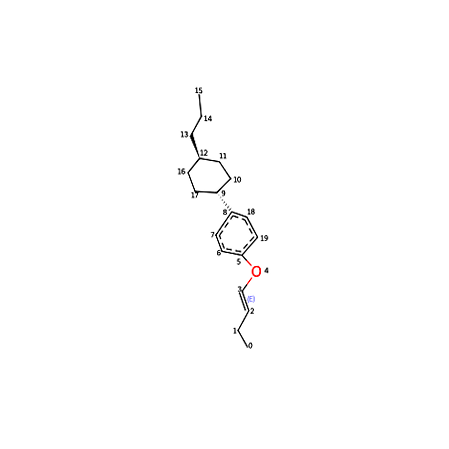 CC/C=C/Oc1ccc([C@H]2CC[C@H](CCC)CC2)cc1